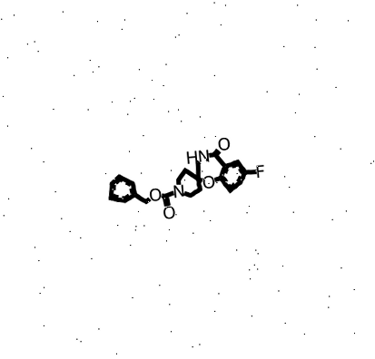 O=C1NCC2(CCN(C(=O)OCc3ccccc3)CC2)Oc2ccc(F)cc21